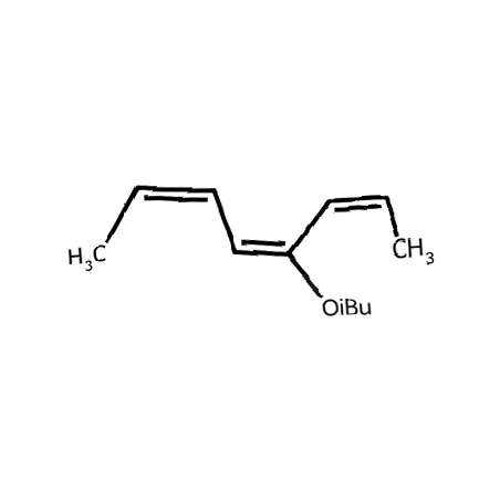 C\C=C/C=C(\C=C/C)OCC(C)C